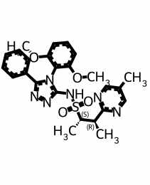 COc1cccc(OC)c1-n1c(NS(=O)(=O)[C@@H](C)[C@H](C)c2ncc(C)cn2)nnc1-c1ccccc1